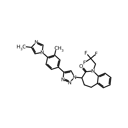 Cc1cn(-c2ccc(-c3cn(C4CCc5ccccc5N(CC(F)(F)F)C4=O)nn3)cc2C)cn1